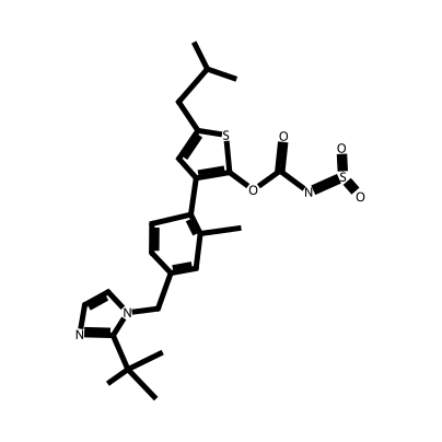 Cc1cc(Cn2ccnc2C(C)(C)C)ccc1-c1cc(CC(C)C)sc1OC(=O)N=S(=O)=O